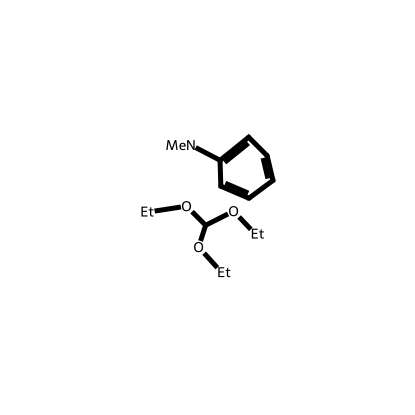 CCOC(OCC)OCC.CNc1ccccc1